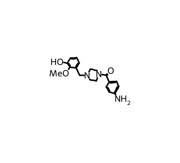 COc1c(O)cccc1CN1CCN(C(=O)c2ccc(N)cc2)CC1